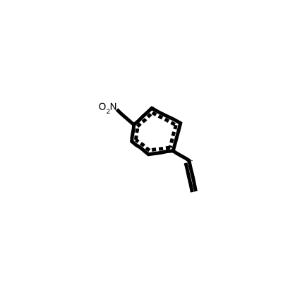 C=[C]c1ccc([N+](=O)[O-])cc1